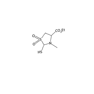 CCOC(=O)C1CS(=O)(=O)C(S)N1C